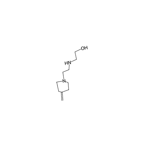 C=C1CCN(CCNCCO)CC1